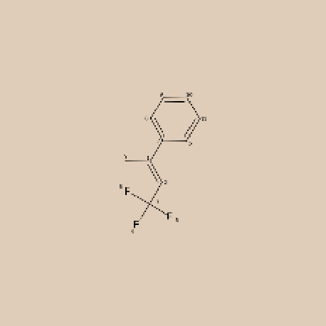 CC(=CC(F)(F)F)c1ccccc1